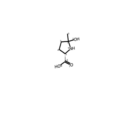 CC1(O)CC[C@@H](C(=O)O)N1